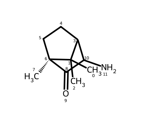 CC1(C)C2CC[C@]1(C)C(=O)C2N